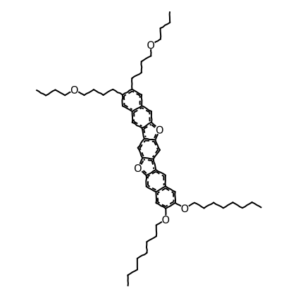 CCCCCCCCOc1cc2cc3oc4cc5c(cc4c3cc2cc1OCCCCCCCC)oc1cc2cc(CCCCOCCCC)c(CCCCOCCCC)cc2cc15